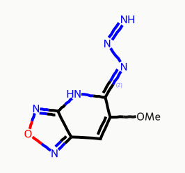 COc1cc2nonc2[nH]/c1=N\N=N